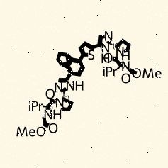 COC(=O)CN[C@H](C(=O)N1CCC[C@H]1c1ncc(-c2ccc(-c3ccc(-c4cnc([C@@H]5CCCN5C(=O)[C@@H](NC(=O)OC)C(C)C)[nH]4)s3)c3c2C2CCC3C2)[nH]1)C(C)C